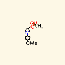 COc1ccc(N2CCC(COS(C)(=O)=O)C2)cc1